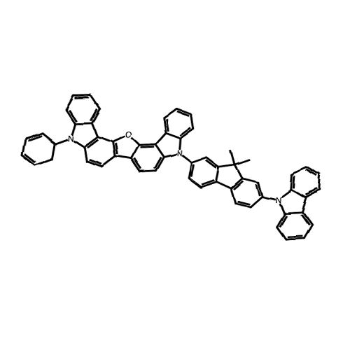 CC1(C)c2cc(-n3c4ccccc4c4ccccc43)ccc2-c2ccc(-n3c4ccccc4c4c5oc6c(ccc7c6c6ccccc6n7C6C=CC=CC6)c5ccc43)cc21